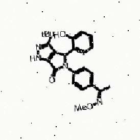 CO/N=C(/C)c1ccc(N2C(=O)c3[nH]nc(C(C)(C)C)c3C2c2ccccc2O)cc1